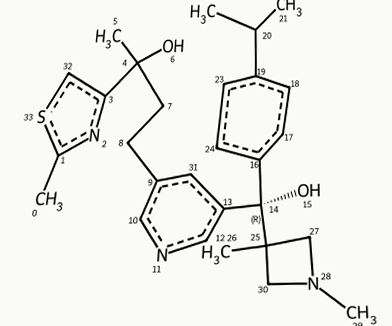 Cc1nc(C(C)(O)CCc2cncc([C@@](O)(c3ccc(C(C)C)cc3)C3(C)CN(C)C3)c2)cs1